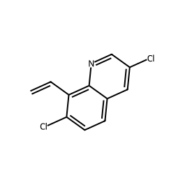 C=Cc1c(Cl)ccc2cc(Cl)cnc12